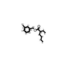 CCCCC(CC)C(=O)OCc1cccc(C)c1